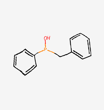 OP(Cc1ccccc1)c1ccccc1